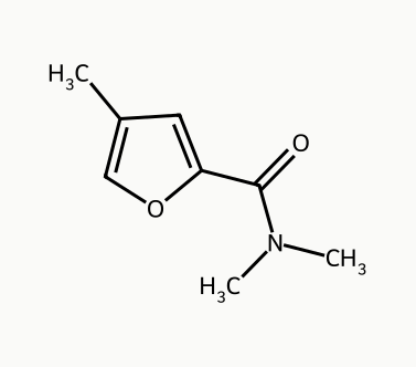 Cc1coc(C(=O)N(C)C)c1